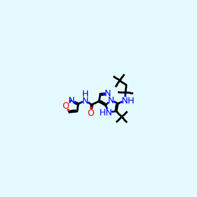 CC(C)(C)CC(C)(C)Nc1c(C(C)(C)C)[nH]c2c(C(=O)Nc3ccon3)cnn12